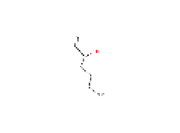 C=CC(O)CCC[C](C)C